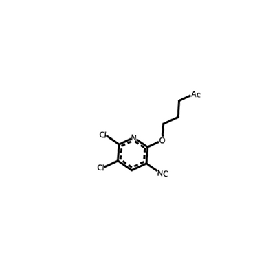 [C-]#[N+]c1cc(Cl)c(Cl)nc1OCCCC(C)=O